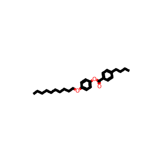 CCCCCCCCCCOc1ccc(OC(=O)c2ccc(CCCC)cc2)cc1